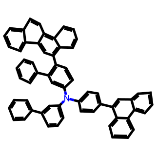 c1ccc(-c2cccc(N(c3ccc(-c4cc5ccccc5c5ccccc45)cc3)c3ccc(-c4cc5c6ccccc6ccc5c5ccccc45)c(-c4ccccc4)c3)c2)cc1